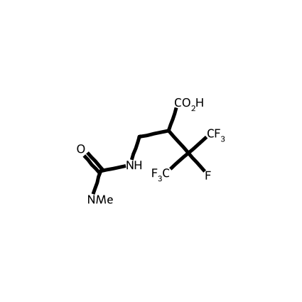 CNC(=O)NCC(C(=O)O)C(F)(C(F)(F)F)C(F)(F)F